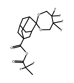 CC(F)(F)C(=O)OC(=O)C12CC3CC(C1)C1(OCC(F)(F)C(F)(F)CO1)C(C3)C2